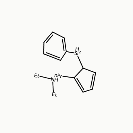 CCCC1=CC=C[C]1[SiH2]c1ccccc1.CCNCC